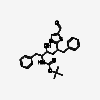 CC(C)(C)OC(=O)NC(Cc1ccccc1)C(O)CC(Cc1ccccc1)c1ncc(C=O)s1